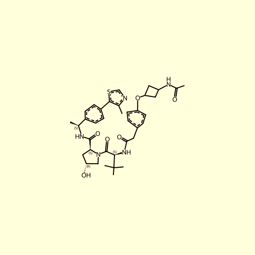 CC(=O)NC1CC(Oc2ccc(CC(=O)N[C@H](C(=O)N3C[C@H](O)C[C@H]3C(=O)N[C@@H](C)c3ccc(-c4scnc4C)cc3)C(C)(C)C)cc2)C1